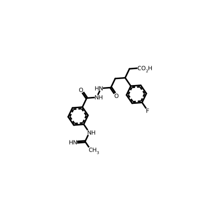 CC(=N)Nc1cccc(C(=O)NNC(=O)CC(CC(=O)O)c2ccc(F)cc2)c1